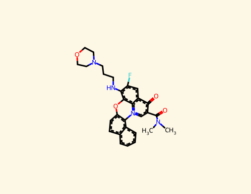 CN(C)C(=O)c1cn2c3c(c(NCCCN4CCOCC4)c(F)cc3c1=O)Oc1ccc3ccccc3c1-2